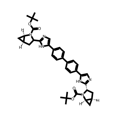 CC(C)(C)OC(=O)N1C(c2ncc(-c3ccc(-c4ccc(-c5cnc([C@@H]6C[C@H]7C[C@H]7N6C(=O)OC(C)(C)C)[nH]5)cc4)cc3)[nH]2)C[C@H]2C[C@H]21